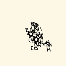 CCSc1nc(NCc2ccn[nH]2)c2c3c(c(-c4ccc(F)c5sc(NC(=O)OC(C)(C)C)c(C#N)c45)c(Cl)c2n1)COC3